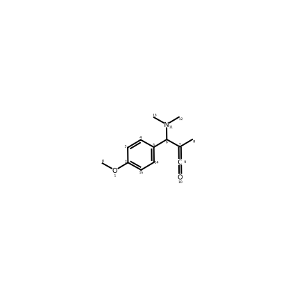 COc1ccc(C(C(C)=C=O)N(C)C)cc1